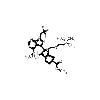 CNc1ncnc2c1c(-c1c(C)c3ccc(C(=O)OC)cc3n1COCC[Si](C)(C)C)nn2CC(F)(F)F